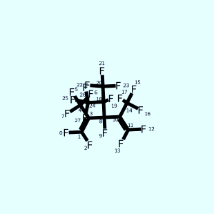 FC(F)=C(C(F)(F)F)C(F)(C(=C(F)F)C(F)(F)F)C(F)(C(F)(F)F)C(F)(F)F